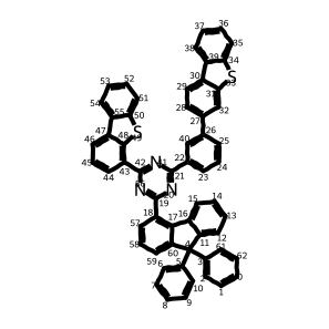 c1ccc(C2(c3ccccc3)c3ccccc3-c3c(-c4nc(-c5cccc(-c6ccc7c(c6)sc6ccccc67)c5)nc(-c5cccc6c5sc5ccccc56)n4)cccc32)cc1